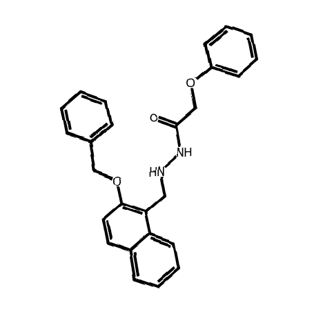 O=C(COc1ccccc1)NNCc1c(OCc2ccccc2)ccc2ccccc12